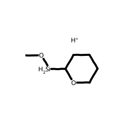 CO[SiH2]C1CCCCO1.[H+]